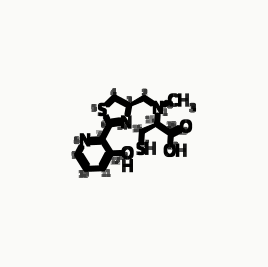 CN(C[C@@H]1CSC(c2ncccc2O)=N1)[C@H](CS)C(=O)O